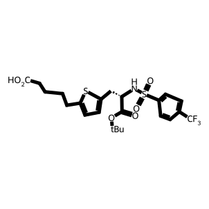 CC(C)(C)OC(=O)[C@H](Cc1ccc(CCCCC(=O)O)s1)NS(=O)(=O)c1ccc(C(F)(F)F)cc1